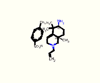 C=CCN1CC=C2C(C)(C)[C@@H](N)CC[C@]2(C)C1.Cc1ccc(S(=O)(=O)O)cc1